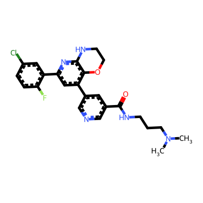 CN(C)CCCNC(=O)c1cncc(-c2cc(-c3cc(Cl)ccc3F)nc3c2OCCN3)c1